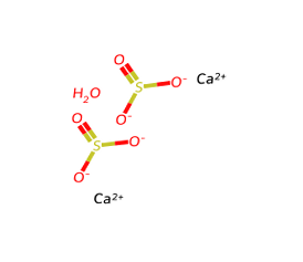 O.O=S([O-])[O-].O=S([O-])[O-].[Ca+2].[Ca+2]